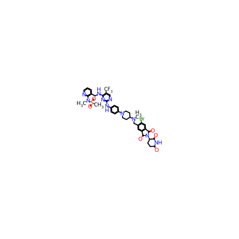 CN(Cc1cc2c(cc1Br)C(=O)N(C1CCC(=O)NC1=O)C2=O)C1CCN(c2ccc(Nc3ncc(C(F)(F)F)c(NCc4cccnc4N(C)S(C)(=O)=O)n3)cc2)CC1